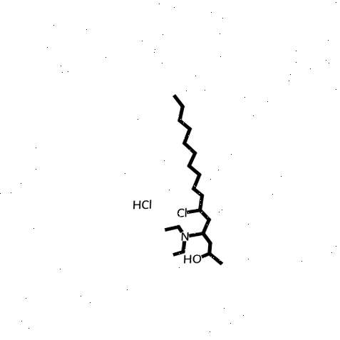 CCCCCCCCCCC(Cl)CC(CC(C)O)N(CC)CC.Cl